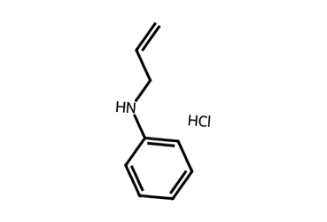 C=CCNc1ccccc1.Cl